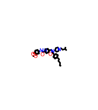 CCCCCc1ccc(C(=O)N(Cc2ccc(C(=O)Nc3ccc4c(c3)OCO4)cc2)C2CCN(CCC(C)C)CC2)cc1